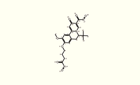 COc1cc2c(cc1OCCCC(=O)N=O)CC(C(C)(C)C)n1cc(C(=O)N=O)c(=O)cc1-2